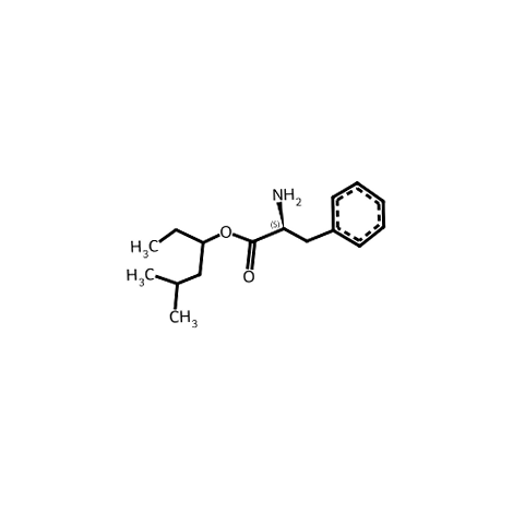 CCC(CC(C)C)OC(=O)[C@@H](N)Cc1ccccc1